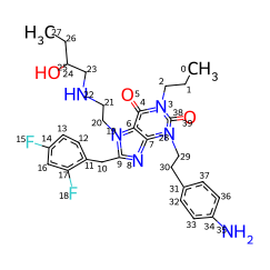 CCCn1c(=O)c2c(nc(Cc3ccc(F)cc3F)n2CCNCC(O)CC)n(CCc2ccc(N)cc2)c1=O